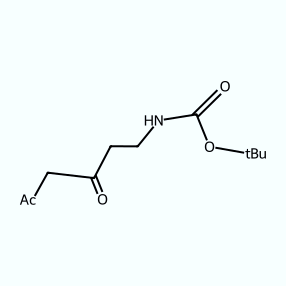 CC(=O)CC(=O)CCNC(=O)OC(C)(C)C